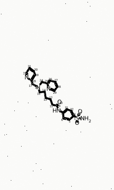 NS(=O)(=O)c1ccc(NC(=O)CCCCCN(Cc2ccccn2)Cc2ccccn2)cc1